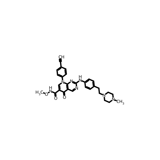 C#Cc1ccc(-n2cc(C(=O)NOC)c(=O)c3cnc(Nc4ccc(CCN5CCN(C)CC5)cc4)nc32)cc1